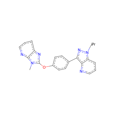 CC(C)n1nc(-c2ccc(Oc3nc4cccnc4n3C)cc2)c2ncccc21